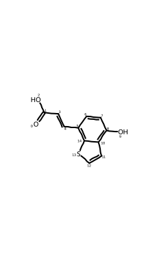 O=C(O)C=Cc1ccc(O)c2ccsc12